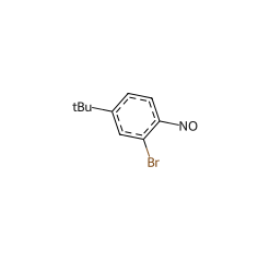 CC(C)(C)c1ccc(N=O)c(Br)c1